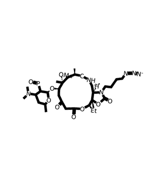 CC[C@H]1OC(=O)CC(=O)C[C@@H](O[C@@H]2OC(C)CC(N(C)C)C2P=O)[C@](C)(OC)C[C@@H](C)CN[C@H](C)[C@H]2N(CCCCN=[N+]=[N-])C(=O)O[C@]12C